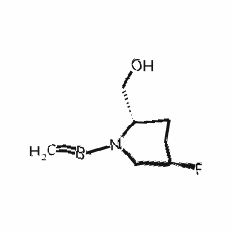 C=BN1C[C@H](F)C[C@H]1CO